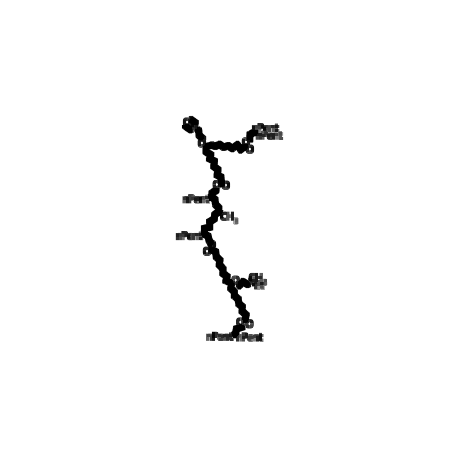 CCCCCC(CCCCC)CCOC(=O)CCCCCCCCC(CCCCCCCCC(=O)OCCC(CCCCC)CCCCCC(C)CCCC(CCCCC)CCOC(=O)CCCCCCCCC(CCCCCCCCC(=O)OCCC(CCCCC)CCCCC)OCCCN1CCOCC1)OCCCN(C)CC